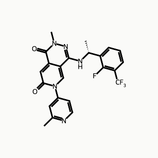 Cc1cc(-n2cc3c(N[C@H](C)c4cccc(C(F)(F)F)c4F)nn(C)c(=O)c3cc2=O)ccn1